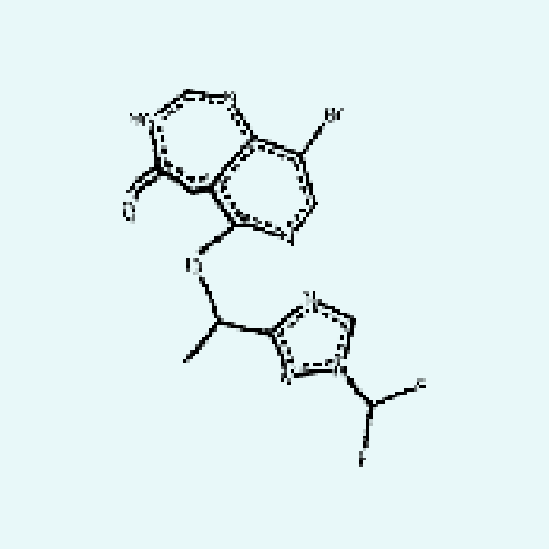 CC(Oc1ncc(Br)c2nc[nH]c(=O)c12)c1ncn(C(F)F)n1